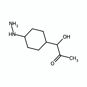 CC(=O)C(O)C1CCC(NN)CC1